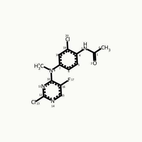 CC(=O)Nc1ccc(N(C)c2nc(Cl)ncc2F)cc1Cl